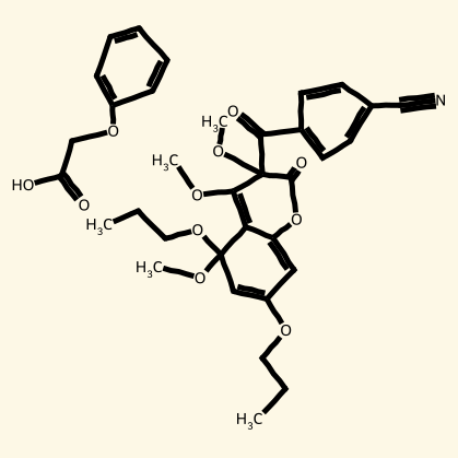 CCCOC1=CC(OC)(OCCC)C2=C(OC)C(OC)(C(=O)c3ccc(C#N)cc3)C(=O)OC2=C1.O=C(O)COc1ccccc1